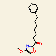 COc1coc(C(=O)CCCCCCc2ccccc2)n1